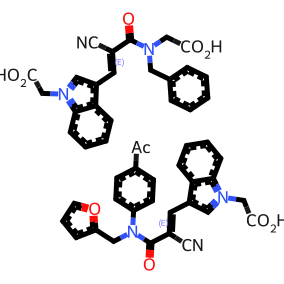 CC(=O)c1ccc(N(Cc2ccco2)C(=O)/C(C#N)=C/c2cn(CC(=O)O)c3ccccc23)cc1.N#C/C(=C\c1cn(CC(=O)O)c2ccccc12)C(=O)N(CC(=O)O)Cc1ccccc1